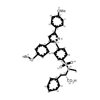 CCCCOc1ccc(-c2cc(-c3ccc(OC)cc3)nn2-c2ccc(S(=O)(=O)N(C)[C@@H](Cc3ccccc3)C(=O)O)cc2)cc1